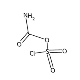 NC(=O)OS(=O)(=O)Cl